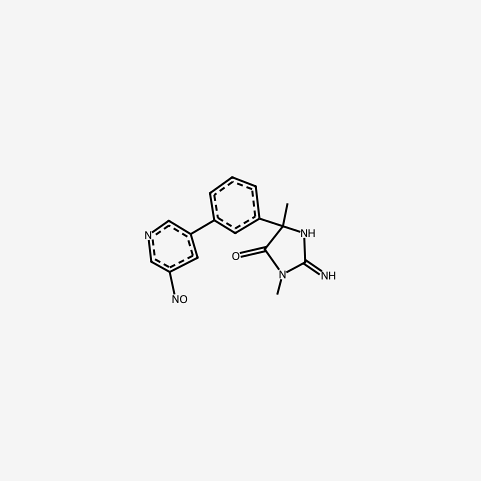 CN1C(=N)NC(C)(c2cccc(-c3cncc(N=O)c3)c2)C1=O